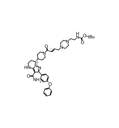 CC(C)(C)OC(=O)NCCN1CCN(C/C=C/C(=O)N2CCC([C@@H]3CCNc4c(C(N)=O)c(-c5ccc(Oc6ccccc6)cc5)nn43)CC2)CC1